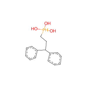 O[PH](O)(O)CCC(c1ccccc1)c1ccccc1